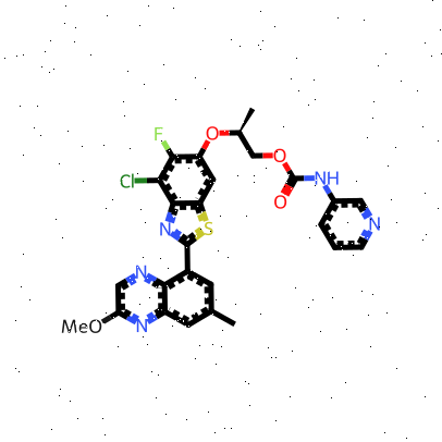 COc1cnc2c(-c3nc4c(Cl)c(F)c(O[C@@H](C)COC(=O)Nc5cccnc5)cc4s3)cc(C)cc2n1